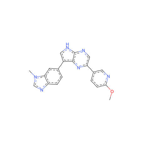 COc1ccc(-c2cnc3[nH]cc(-c4ccc5ncn(C)c5c4)c3n2)cn1